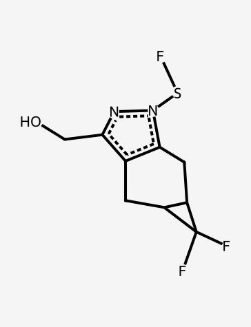 OCc1nn(SF)c2c1CC1C(C2)C1(F)F